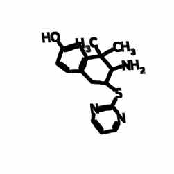 CC1(C)c2cc(O)ccc2CC(Sc2ncccn2)C1N